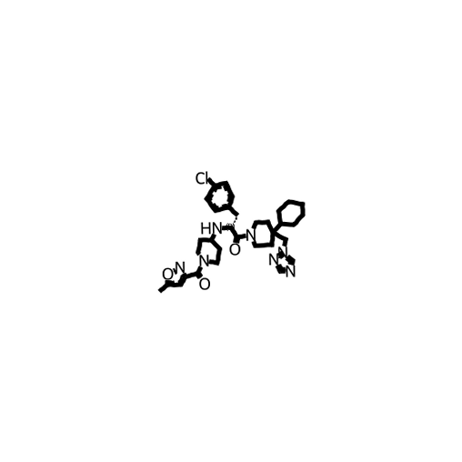 Cc1cc(C(=O)N2CCC(N[C@H](Cc3ccc(Cl)cc3)C(=O)N3CCC(Cn4cncn4)(C4CCCCC4)CC3)CC2)no1